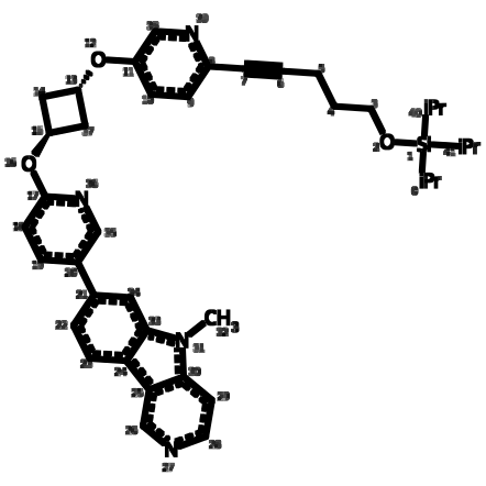 CC(C)[Si](OCCCC#Cc1ccc(O[C@H]2C[C@H](Oc3ccc(-c4ccc5c6cnccc6n(C)c5c4)cn3)C2)cn1)(C(C)C)C(C)C